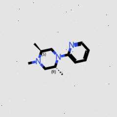 C[C@@H]1CN(C)[C@@H](C)CN1c1ccccn1